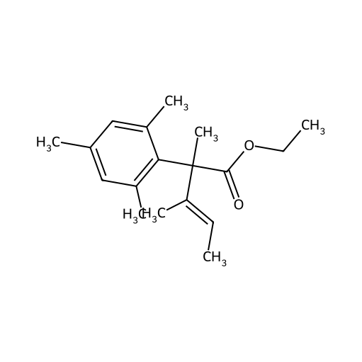 C/C=C(\C)C(C)(C(=O)OCC)c1c(C)cc(C)cc1C